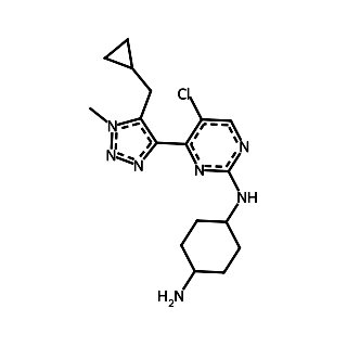 Cn1nnc(-c2nc(NC3CCC(N)CC3)ncc2Cl)c1CC1CC1